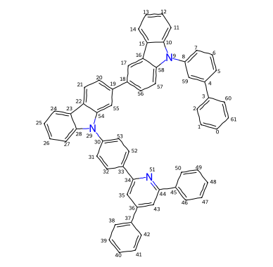 c1ccc(-c2cccc(-n3c4ccccc4c4cc(-c5ccc6c7ccccc7n(-c7ccc(-c8cc(-c9ccccc9)cc(-c9ccccc9)n8)cc7)c6c5)ccc43)c2)cc1